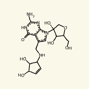 Nc1nc2c(c(CNC3C=CC(O)C3O)cn2C2(O)COC(CO)C2O)c(=O)[nH]1